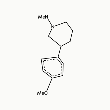 CNN1CCCC(c2ccc(OC)cc2)C1